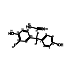 CC(C)(c1ccc(O)cc1)c1ccc(O)c(F)c1.N#CO